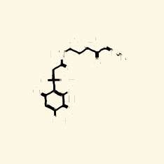 CCOC(=O)[C@H](CCC(=O)C=[N+]=[N-])NC(=O)CC(C)(C)C1=C(C)C(=O)C(C)=CC1=O